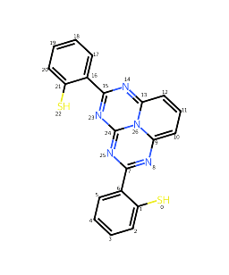 Sc1ccccc1C1=NC2=CC=CC3=NC(c4ccccc4S)=NC(=N1)N23